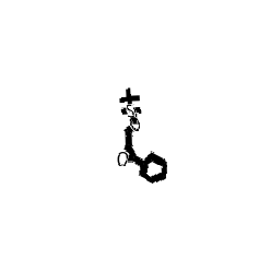 CC(C)(C)[Si](C)(C)OCC1OC1c1ccccc1